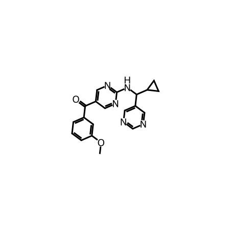 COc1cccc(C(=O)c2cnc(NC(c3cncnc3)C3CC3)nc2)c1